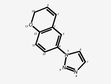 C1=Cc2cc(-n3ccnn3)ccc2OC1